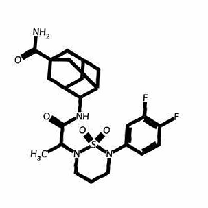 CC(C(=O)NC1C2CC3CC1CC(C(N)=O)(C3)C2)N1CCCN(c2ccc(F)c(F)c2)S1(=O)=O